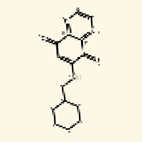 O=C1C=C(NCC2CCCCC2)C(=O)c2nccnc21